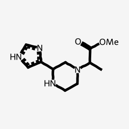 COC(=O)C(C)N1CCNC(c2c[nH]cn2)C1